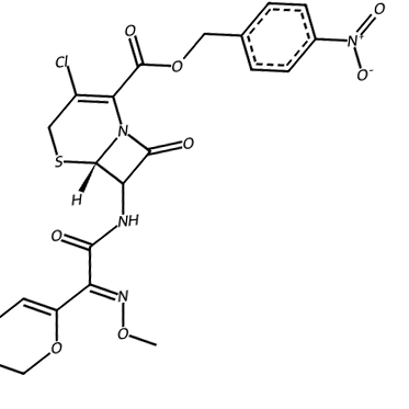 CON=C(C(=O)NC1C(=O)N2C(C(=O)OCc3ccc([N+](=O)[O-])cc3)=C(Cl)CS[C@@H]12)C1=CSCCO1